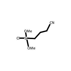 CO[Si](Cl)(CCCC#N)OC